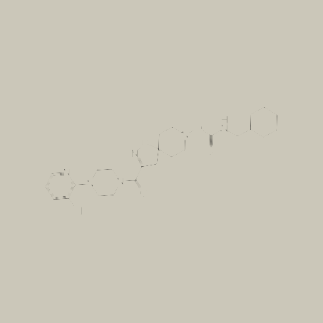 O=C(C1=NOC2(CCN(OC(=S)NCC3CCCCC3)CC2)C1)N1CCN(c2ncccc2Cl)CC1